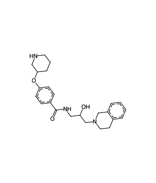 O=C(NCC(O)CN1CCc2ccccc2C1)c1ccc(OC2CCCNC2)cc1